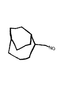 O=NC1CCCC2CCC1CC2